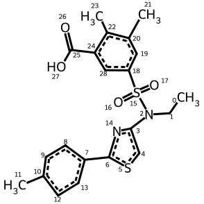 CCN(c1csc(-c2ccc(C)cc2)n1)S(=O)(=O)c1cc(C)c(C)c(C(=O)O)c1